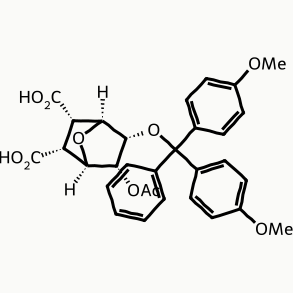 COc1ccc(C(O[C@@H]2[C@H](OC(C)=O)[C@@H]3O[C@H]2[C@@H](C(=O)O)[C@H]3C(=O)O)(c2ccccc2)c2ccc(OC)cc2)cc1